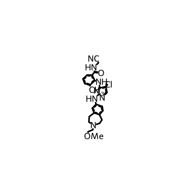 COCCN1CCc2ccc(Nc3ncc(Cl)c(Nc4c(C)cccc4C(=O)NCC#N)n3)cc2CC1